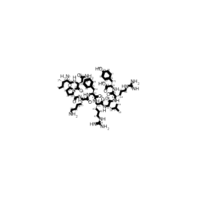 CC[C@H](C)[C@H](N)C(=O)N[C@@H](CC(N)=O)C(=O)N1CCC[C@H]1C(=O)N[C@@H](CCCCN)C(=O)N[C@@H](Cc1ccccc1)C(=O)N[C@@H](CCCNC(=N)N)C(=O)N[C@@H](CC(C)C)C(=O)N[C@@H](CCCNC(=N)N)C(=O)N[C@@H](Cc1ccc(O)cc1)C(=O)O